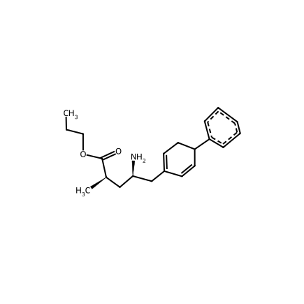 CCCOC(=O)[C@H](C)C[C@@H](N)CC1=CCC(c2ccccc2)C=C1